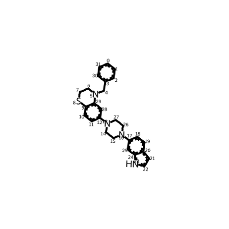 c1ccc(CN2CCSc3ccc(N4CCN(c5ccc6cc[nH]c6c5)CC4)cc32)cc1